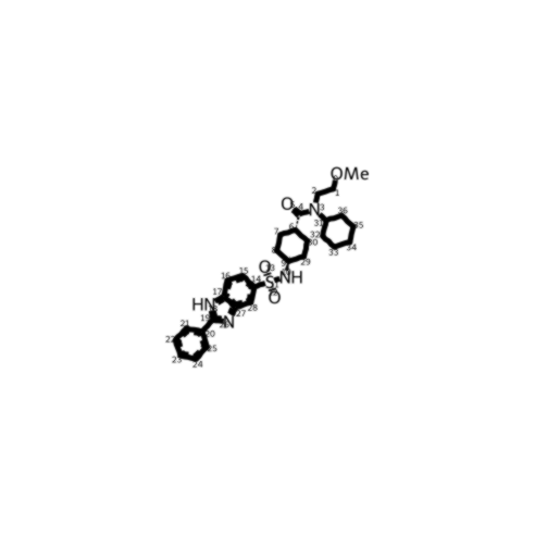 COCCN(C(=O)[C@H]1CC[C@H](NS(=O)(=O)c2ccc3[nH]c(-c4ccccc4)nc3c2)CC1)C1CCCCC1